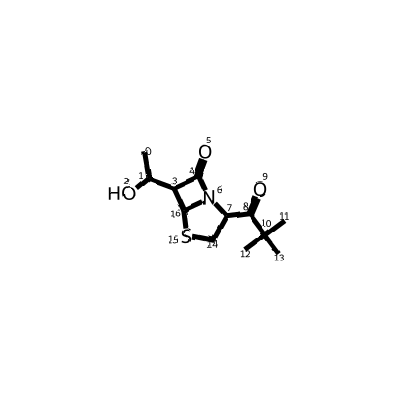 CC(O)C1C(=O)N2C(C(=O)C(C)(C)C)CSC12